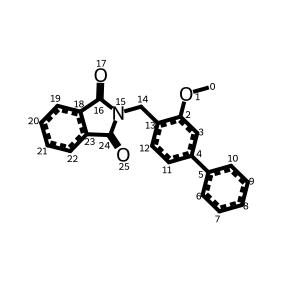 COc1cc(-c2ccccc2)ccc1CN1C(=O)c2ccccc2C1=O